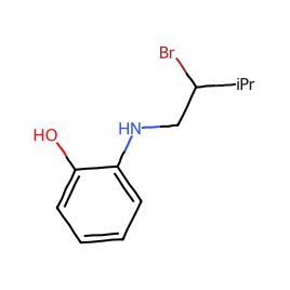 CC(C)C(Br)CNc1ccccc1O